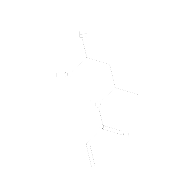 C=CC(=O)OC(C)CC(CC)CCCC